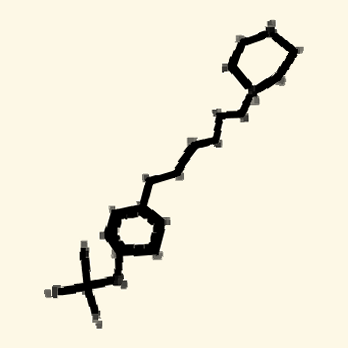 FC(F)(F)Oc1ccc(CCCCCCN2CC[N]CC2)cc1